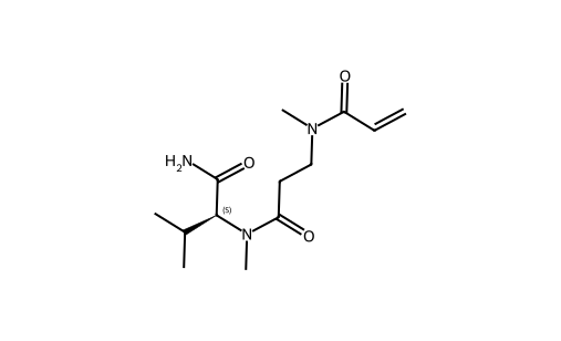 C=CC(=O)N(C)CCC(=O)N(C)[C@H](C(N)=O)C(C)C